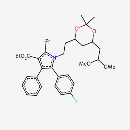 CCOC(=O)c1c(-c2ccccc2)c(-c2ccc(F)cc2)n(CCC2CC(CC(OC)OC)OC(C)(C)O2)c1C(C)C